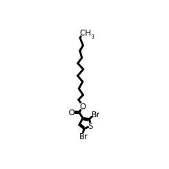 CCCCCCCCCCCCOC(=O)c1cc(Br)sc1Br